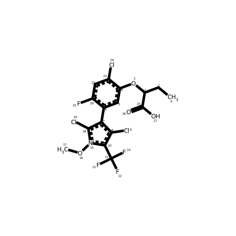 CCC(Oc1cc(-c2c(Cl)c(C(F)(F)F)n(OC)c2Cl)c(F)cc1Cl)C(=O)O